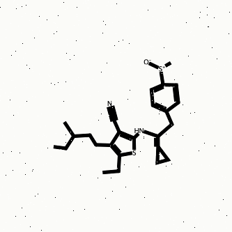 CCc1sc(NC(Cc2ccc([S+](C)[O-])cc2)=C2CC2)c(C#N)c1CCC(C)CC